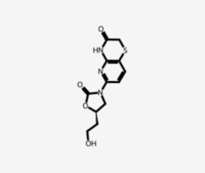 O=C1CSc2ccc(N3C[C@@H](CCO)OC3=O)nc2N1